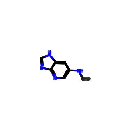 O=[C]Nc1cnc2nc[nH]c2c1